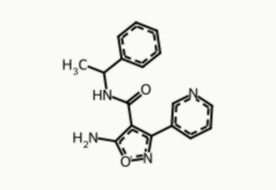 CC(NC(=O)c1c(-c2cccnc2)noc1N)c1ccccc1